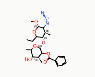 CCC1O[C@H](OC)C(N=[N+]=[N-])[C@@H](C)[C@@H]1O[C@H]1OC(C)[C@@H](O)[C@H](C)C1OC(=O)c1ccccc1